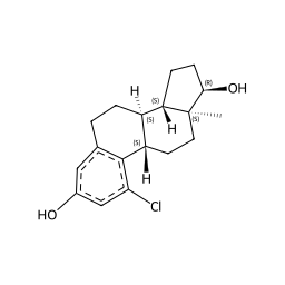 C[C@]12CC[C@@H]3c4c(Cl)cc(O)cc4CC[C@H]3[C@@H]1CC[C@H]2O